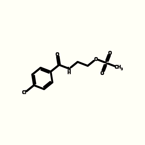 CS(=O)(=O)OCCNC(=O)c1ccc(Cl)cc1